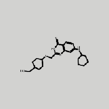 O=c1[nH]c(CSC2CCC(CO)CC2)nc2cc(NC3CCCCC3)ccc12